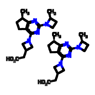 C[C@@H]1CCc2c1nc(N1CC[C@@H]1C)nc2N1CC(CC(=O)O)C1.C[C@H]1CCc2c1nc(N1CC[C@@H]1C)nc2N1CC(CC(=O)O)C1